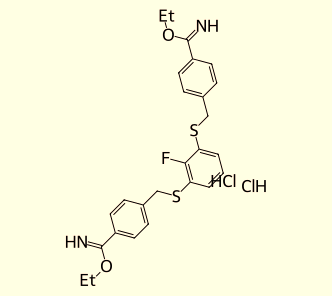 CCOC(=N)c1ccc(CSc2cccc(SCc3ccc(C(=N)OCC)cc3)c2F)cc1.Cl.Cl